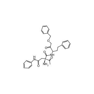 CC(=O)[C@](N)(CC(=O)Nc1ccccc1)C(=O)NC(CCc1ccccc1)C(=O)COCc1ccccc1